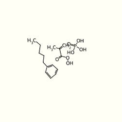 C=C(C)C(=O)OO.CCCCCc1ccccc1.O=P(O)(O)O